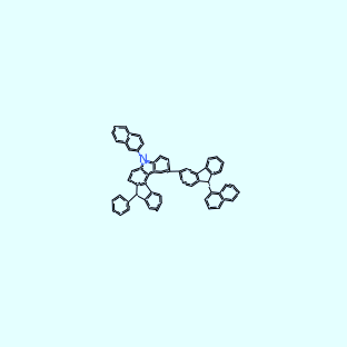 c1ccc(C2c3ccccc3-c3c2ccc2c3c3cc(-c4ccc5c(c4)-c4ccccc4C5c4cccc5ccccc45)ccc3n2-c2ccc3ccccc3c2)cc1